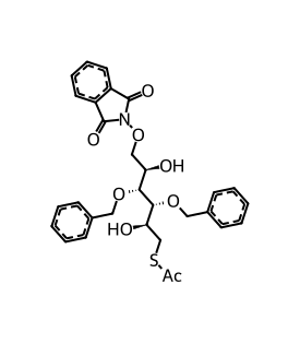 CC(=O)SC[C@@H](O)[C@@H](OCc1ccccc1)[C@H](OCc1ccccc1)[C@H](O)CON1C(=O)c2ccccc2C1=O